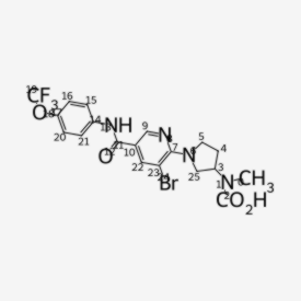 CN(C(=O)O)C1CCN(c2ncc(C(=O)Nc3ccc(OC(F)(F)F)cc3)cc2Br)C1